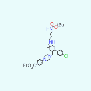 CCOC(=O)c1ccc(N2CCN(CC3=C(c4ccc(Cl)cc4)CCC(C)(CNCCCCNC(=O)OC(C)(C)C)C3)CC2)cc1